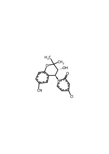 CC1(C)Oc2ccc(C#N)cc2[C@H](n2ccc(Cl)cc2=O)[C@H]1O